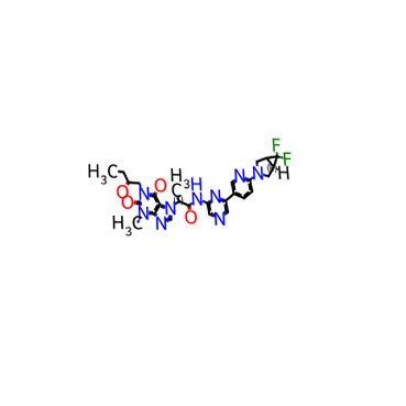 CCC(=O)Cn1c(=O)c2c(ncn2[C@@H](C)C(=O)Nc2cncc(-c3ccc(N4CC5[C@H](C4)C5(F)F)nc3)n2)n(C)c1=O